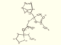 CCC1(OC(=O)CC(C)(OC(C)=O)C2CC3C=CC2C3)CCCC1